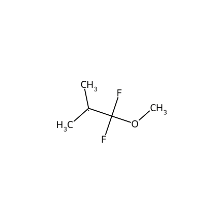 COC(F)(F)[C](C)C